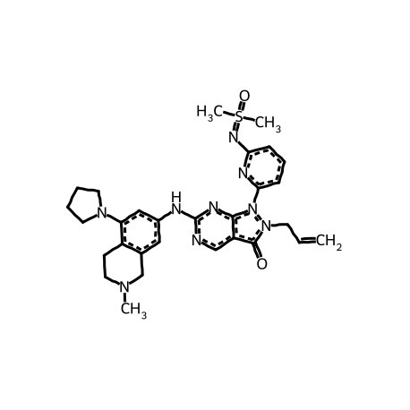 C=CCn1c(=O)c2cnc(Nc3cc4c(c(N5CCCC5)c3)CCN(C)C4)nc2n1-c1cccc(N=S(C)(C)=O)n1